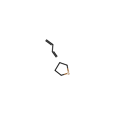 C1CCSC1.C=CC=C